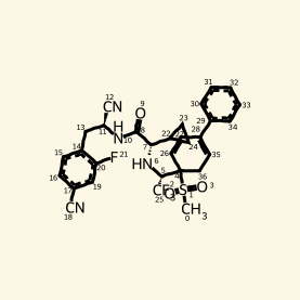 CS(=O)(=O)C1([C@@H](N[C@H](C(=O)N[C@H](C#N)Cc2ccc(C#N)cc2F)C2CC2)C(F)(F)F)C=CC(c2ccccc2)=CC1